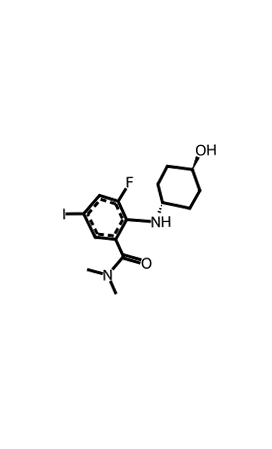 CN(C)C(=O)c1cc(I)cc(F)c1N[C@H]1CC[C@H](O)CC1